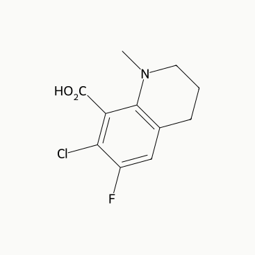 CN1CCCc2cc(F)c(Cl)c(C(=O)O)c21